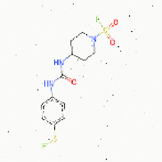 O=C(Nc1ccc(SF)cc1)NC1CCN(S(=O)(=O)F)CC1